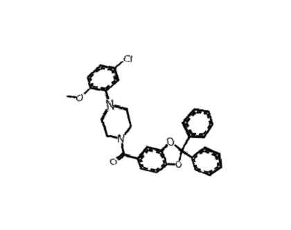 COc1ccc(Cl)cc1N1CCN(C(=O)c2ccc3c(c2)OC(c2ccccc2)(c2ccccc2)O3)CC1